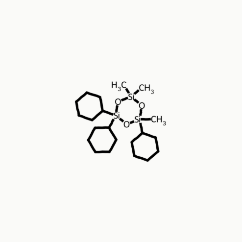 C[Si]1(C)O[Si](C)(C2CCCCC2)O[Si](C2CCCCC2)(C2CCCCC2)O1